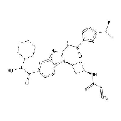 C=CC(=O)N[C@H]1C[C@@H](n2c(NC(=O)c3ccc(C(F)F)s3)nc3cc(C(=O)N(C)C4CCCCC4)ccc32)C1